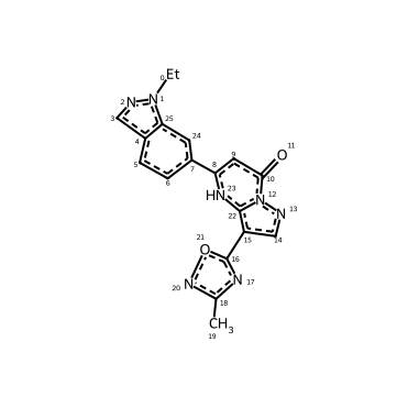 CCn1ncc2ccc(-c3cc(=O)n4ncc(-c5nc(C)no5)c4[nH]3)cc21